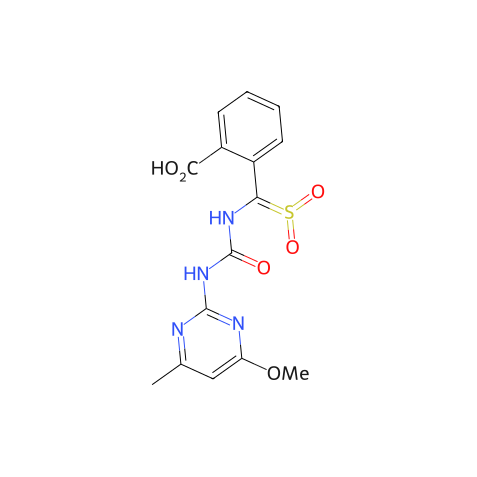 COc1cc(C)nc(NC(=O)NC(c2ccccc2C(=O)O)=S(=O)=O)n1